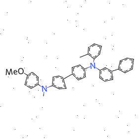 COc1ccc(N(C)c2ccc(-c3ccc(N(c4cccc(-c5ccccc5)c4)c4ccccc4C)cc3)cc2)cc1